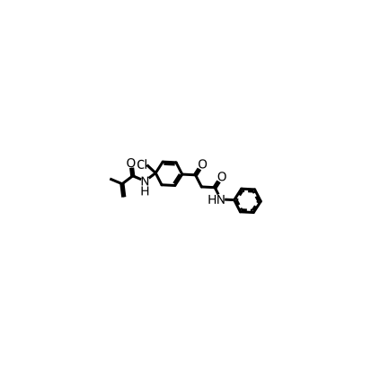 C=C(C)C(=O)NC1(Cl)C=CC(C(=O)CC(=O)Nc2ccccc2)=CC1